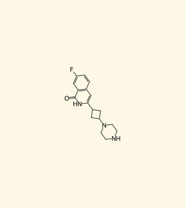 O=c1[nH]c(C2CC(N3CCNCC3)C2)cc2ccc(F)cc12